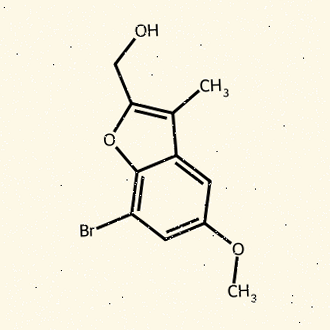 COc1cc(Br)c2oc(CO)c(C)c2c1